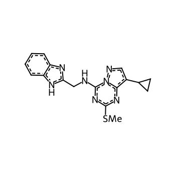 CSc1nc(NCc2nc3ccccc3[nH]2)n2ncc(C3CC3)c2n1